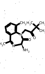 CC1=N[C@H](N)C(=O)N(CC(=O)C(C)(C)C)c2c(C)cccc21